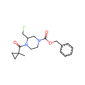 CC1(C(=O)N2CCN(C(=O)OCc3ccccc3)CC2CF)CC1